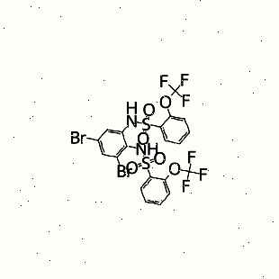 O=S(=O)(Nc1cc(Br)cc(Br)c1NS(=O)(=O)c1ccccc1OC(F)(F)F)c1ccccc1OC(F)(F)F